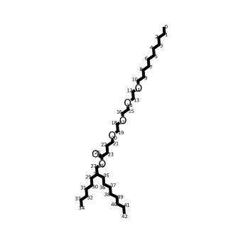 CCCCCCCCCCCOCCOCCOCCOCCCC(=O)OCC(CCCCCC)CCCCCCCC